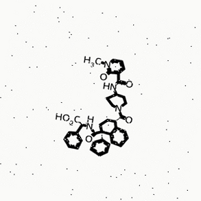 Cn1cccc(C(=O)NC2CCN(C(=O)[C@H]3CC[C@@](C(=O)N[C@@H](C(=O)O)c4ccccc4)(c4ccccc4)c4ccccc43)CC2)c1=O